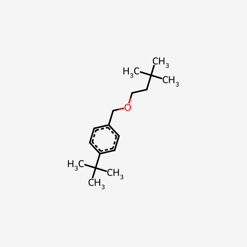 CC(C)(C)CCOCc1ccc(C(C)(C)C)cc1